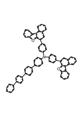 c1ccc(-c2ccc(-c3ccc(-c4ccc(N(c5ccc(-c6cc7ccccc7c7c6oc6ccccc67)cc5)c5ccc(-c6cc7ccccc7c7c6oc6ccccc67)cc5)cc4)cc3)cc2)cc1